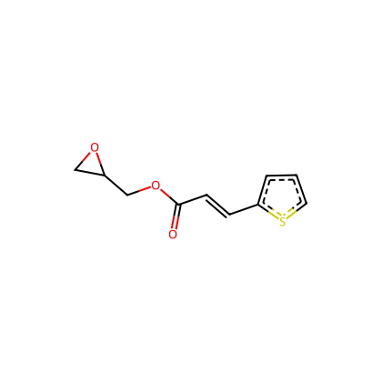 O=C(C=Cc1cccs1)OCC1CO1